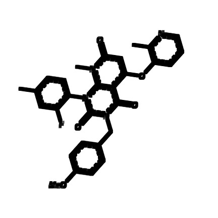 COc1ccc(Cn2c(=O)c3c(Oc4cccnc4C)cc(=O)n(C)c3n(-c3ccc(C)cc3F)c2=O)cc1